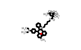 CCN(CC)c1ccc(C(c2ccc(C)cc2)c2c(-c3ccccc3)n(CCCCCOC(=O)C(C)(CC(C)(C)C)C(C)(C)C)c3ccccc23)cc1